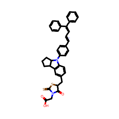 O=C(O)CN1C(=O)C(Cc2ccc3c(c2)C2CCCC2N3c2ccc(/C=C/C=C(c3ccccc3)c3ccccc3)cc2)SC1=S